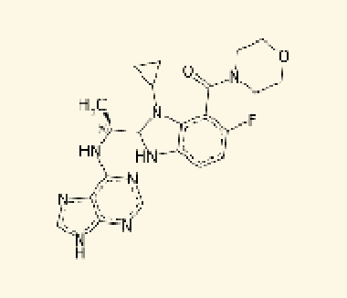 C[C@H](Nc1ncnc2[nH]cnc12)C1Nc2ccc(F)c(C(=O)N3CCOCC3)c2N1C1CC1